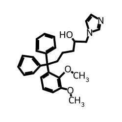 COc1cccc(C(CCCC(O)Cn2ccnc2)(c2ccccc2)c2ccccc2)c1OC